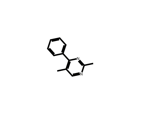 Cc1ncc(C)c(-c2ccccc2)n1